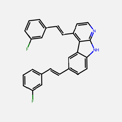 Fc1cccc(C=Cc2ccc3[nH]c4nccc(C=Cc5cccc(F)c5)c4c3c2)c1